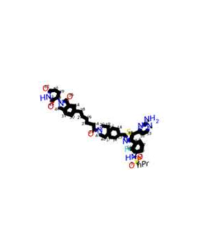 CCCS(=O)(=O)Nc1cccc(-c2nc(C3CCC4(CC3)CCN(C(=O)CCCCCc3ccc5c(c3)C(=O)N([C@@H]3CCC(=O)NC3=O)C5)CC4)sc2-c2ccnc(N)n2)c1F